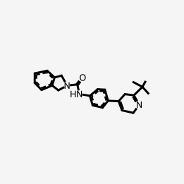 CC(C)(C)C1=NCC=C(c2ccc(NC(=O)N3Cc4ccccc4C3)cc2)C1